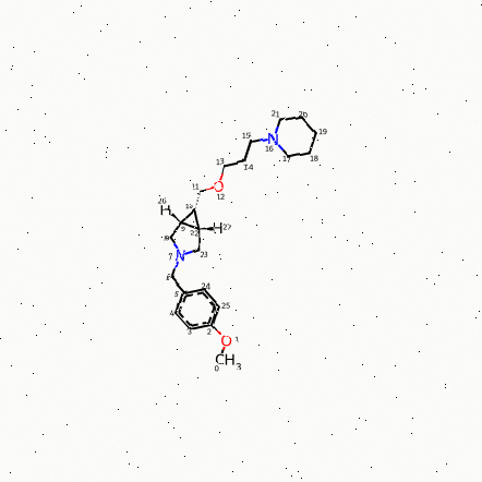 COc1ccc(CN2C[C@@H]3[C@H](COCCCN4CCCCC4)[C@@H]3C2)cc1